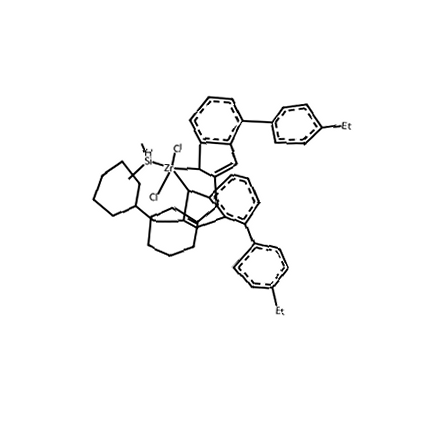 CCc1ccc(-c2cccc3c2C=C(CC2CCCCC2)[CH]3[Zr]([Cl])([Cl])([CH]2C(CC3CCCCC3)=Cc3c(-c4ccc(CC)cc4)cccc32)[SiH](C)C)cc1